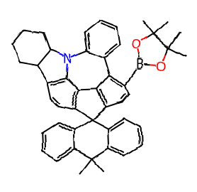 CC1(C)c2ccccc2C2(c3ccccc31)c1ccc(B3OC(C)(C)C(C)(C)O3)c3c1-c1c2ccc2c1N(c1ccccc1-3)C1CCCCC21